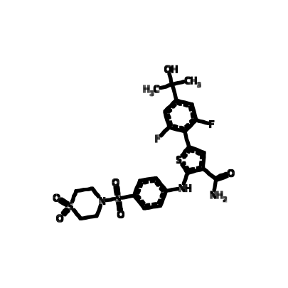 CC(C)(O)c1cc(F)c(-c2cc(C(N)=O)c(Nc3ccc(S(=O)(=O)N4CCS(=O)(=O)CC4)cc3)s2)c(F)c1